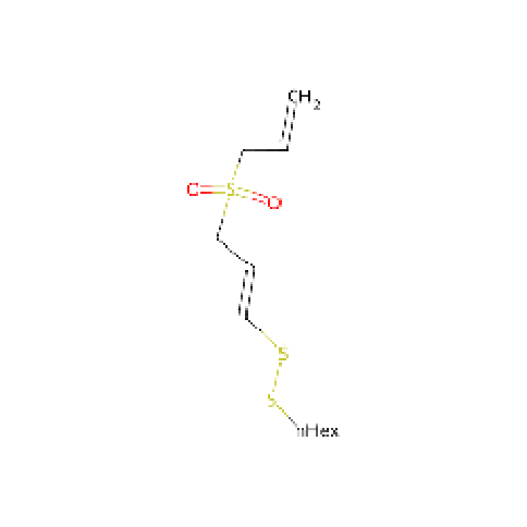 C=CCS(=O)(=O)C/C=C/SSCCCCCC